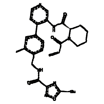 C=CC(=O)N1CCCC[C@H]1C(=O)Nc1cnccc1-c1ccc(CNC(=O)c2noc(C(C)(C)C)n2)c(C)c1